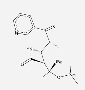 C[C@@H](C(=S)c1cccnc1)[C@H]1NC(=O)[C@@H]1[C@@](C)(O[SiH](C)C)C(C)(C)C